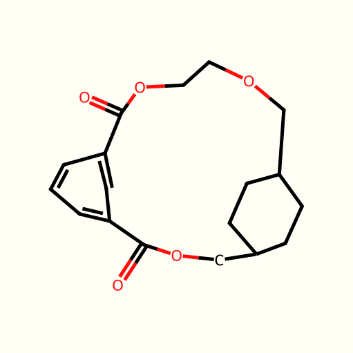 O=C1OCCOCC2CCC(CC2)COC(=O)c2cccc1c2